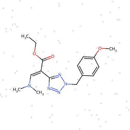 CCOC(=O)/C(=C/N(C)C)c1nnn(Cc2ccc(OC)cc2)n1